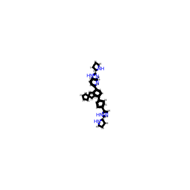 c1cc(-c2ccc(-c3ccc4[nH]c([C@@H]5CCCN5)nc4n3)c3c2CC2(CCCC2)C3)ccc1-c1cnc([C@@H]2CCCN2)[nH]1